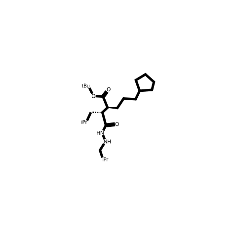 CC(C)CNNC(=O)[C@H](CC(C)C)[C@H](CCCC1CCCC1)C(=O)OC(C)(C)C